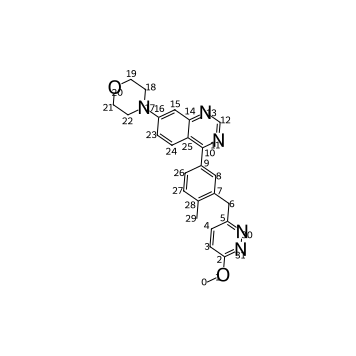 COc1ccc(Cc2cc(-c3ncnc4cc(N5CCOCC5)ccc34)ccc2C)nn1